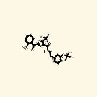 Cc1ccccc1C(=O)c1nc(C(F)(F)F)c(C(=O)NCCc2cccc(OC(F)(F)F)c2)s1